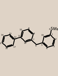 CSc1cccc(Cc2cccc(-c3ccccc3)c2)c1